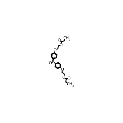 C=CC(=O)OCCOc1ccc([PH](=O)c2ccc(OCCOC(=O)C=C)cc2)cc1